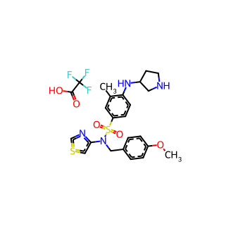 COc1ccc(CN(c2cscn2)S(=O)(=O)c2ccc(NC3CCNC3)c(C)c2)cc1.O=C(O)C(F)(F)F